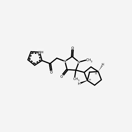 CN1C(=O)N(CC(=O)c2ccc[nH]2)C(=O)C1(C)C1C[C@H]2CC[C@H]1C2